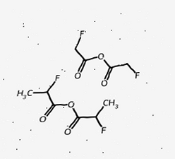 CC(F)C(=O)OC(=O)C(C)F.O=C(CF)OC(=O)CF